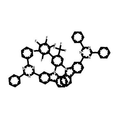 Fc1c(F)c(F)c(-c2cc(-n3c4ccccc4c4ccc(-c5nc(-c6ccccc6)nc(-c6ccccc6)n5)cc43)c(-n3c4ccccc4c4ccc(-c5nc(-c6ccccc6)nc(-c6ccccc6)n5)cc43)cc2C(F)(F)F)c(F)c1F